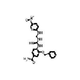 N=C(NCNc1ccc([N+](=O)[O-])cn1)Nc1ccc(C(N)=O)cc1OCc1ccccc1